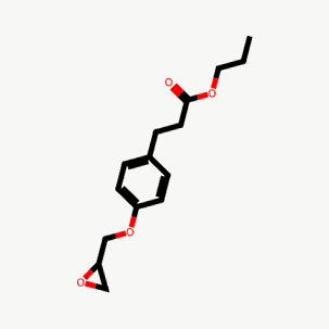 CCCOC(=O)CCc1ccc(OCC2CO2)cc1